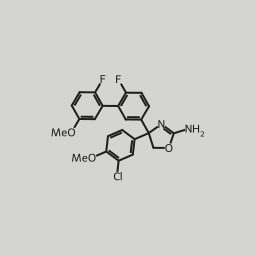 COc1ccc(F)c(-c2cc(C3(c4ccc(OC)c(Cl)c4)COC(N)=N3)ccc2F)c1